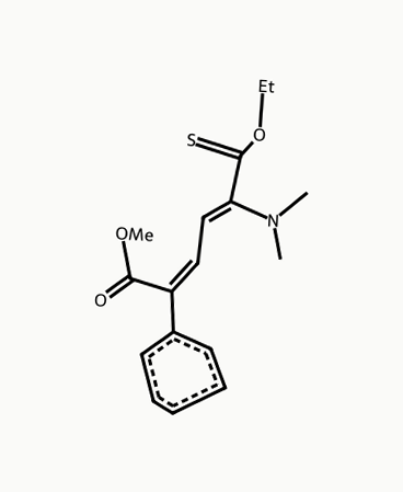 CCOC(=S)C(=CC=C(C(=O)OC)c1ccccc1)N(C)C